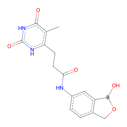 Cc1c(CCC(=O)Nc2ccc3c(c2)B(O)OC3)[nH]c(=O)[nH]c1=O